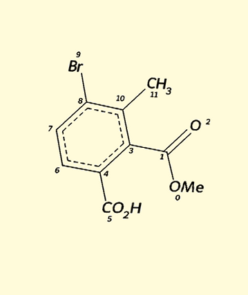 COC(=O)c1c(C(=O)O)ccc(Br)c1C